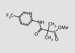 COS(=O)C(C)(C)C(=O)Nc1ccc(C(F)(F)F)cn1